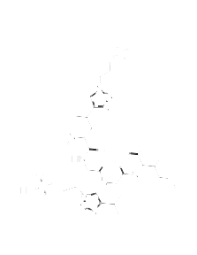 CN[C@@H](CC(C)c1cn(CCOS(=O)(=O)O)nn1)C(=O)N[C@@H](C)C(=O)N[C@@H](CC(C)c1cn(CCOS(=O)(=O)O)nn1)C(=O)N[C@H](C(=O)O)C(C)CSC